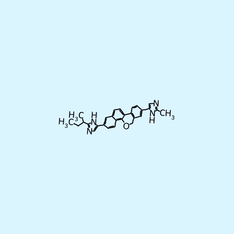 CCC(C)c1ncc(-c2ccc3c4c(ccc3c2)-c2ccc(-c3cnc(C)[nH]3)cc2CO4)[nH]1